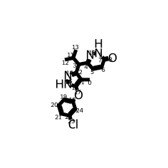 Cc1c(C(c2ccc(=O)[nH]n2)C(C)C)n[nH]c1Oc1cccc(Cl)c1